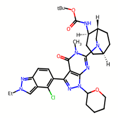 CCn1cc2c(Cl)c(-c3nn(C4CCCCO4)c4nc(N5C[C@H]6CC[C@H]5CC[C@H]6NC(=O)OC(C)(C)C)n(C)c(=O)c34)ccc2n1